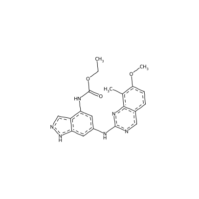 CCOC(=O)Nc1cc(Nc2ncc3ccc(OC)c(C)c3n2)cc2[nH]ncc12